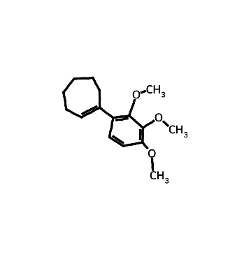 COc1ccc(C2=CCCCCC2)c(OC)c1OC